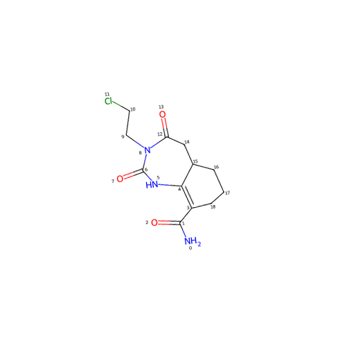 NC(=O)C1=C2NC(=O)N(CCCl)C(=O)CC2CCC1